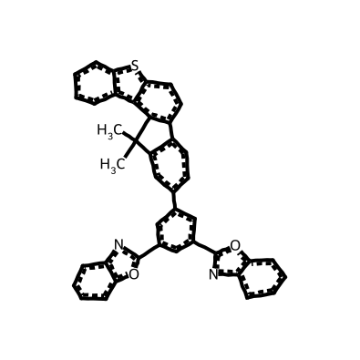 CC1(C)c2cc(-c3cc(-c4nc5ccccc5o4)cc(-c4nc5ccccc5o4)c3)ccc2-c2ccc3sc4ccccc4c3c21